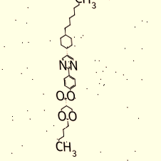 CCCCCCC[C@H]1CC[C@H](c2cnc(-c3ccc(OC(=O)[C@H]4CO[C@H](CCCCC)OC4)cc3)nc2)CC1